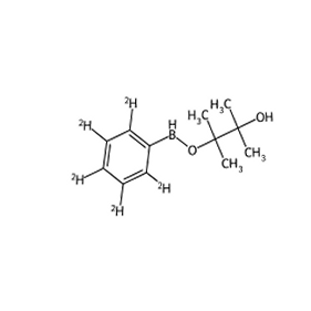 [2H]c1c([2H])c([2H])c(BOC(C)(C)C(C)(C)O)c([2H])c1[2H]